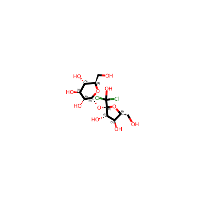 OC[C@H]1O[C@](O[C@H]2O[C@H](CO)[C@@H](O)[C@H](O)[C@H]2O)(C(O)(Cl)Cl)[C@@H](O)[C@@H]1O